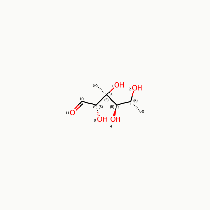 C[C@@H](O)[C@@H](O)[C@](C)(O)[C@H](O)C=O